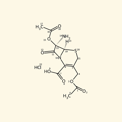 CC(=O)OCC1=C(C(=O)O)N2C(=O)[C@@](N)(OC(C)=O)[C@H]2SC1.Cl